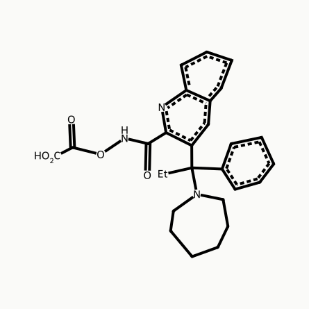 CCC(c1ccccc1)(c1cc2ccccc2nc1C(=O)NOC(=O)C(=O)O)N1CCCCCC1